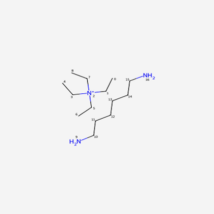 CC[N+](CC)(CC)CC.NCCCCCCN